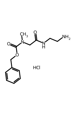 CN(CC(=O)NCCN)C(=O)OCc1ccccc1.Cl